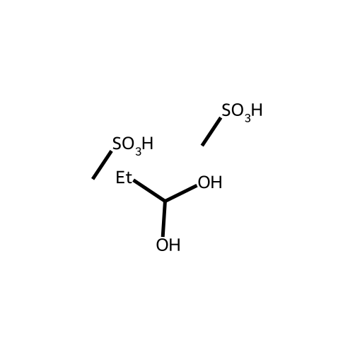 CCC(O)O.CS(=O)(=O)O.CS(=O)(=O)O